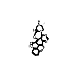 C[C@@H]1CN2c3ncnc4c(F)c(-c5c(O)cccc5F)c(Cl)c(c34)OC[C@@H]2CN1